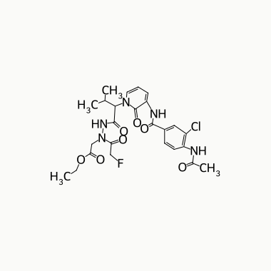 CCOC(=O)CN(NC(=O)C(C(C)C)n1cccc(NC(=O)c2ccc(NC(C)=O)c(Cl)c2)c1=O)C(=O)CF